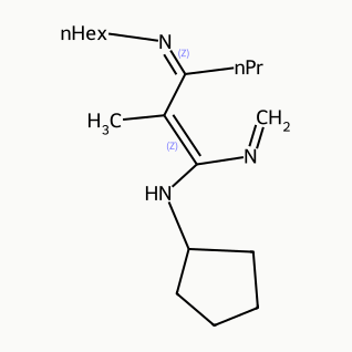 C=N/C(NC1CCCC1)=C(C)\C(CCC)=N/CCCCCC